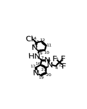 FC(F)(F)Cn1nc(Nc2cccc(Cl)n2)c2cnccc21